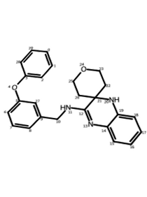 c1ccc(Oc2cccc(CNC3=Nc4ccccc4NC34CCOCC4)c2)cc1